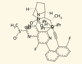 CC(C)[Si](C#Cc1c(F)ccc2cccc(-c3nc4c5c(nc([S+](C)[O-])nc5c3F)N3C[C@H]5CC[C@@H]([C@H]3[C@H](C)O4)N5C(=O)OC(C)(C)C)c12)(C(C)C)C(C)C